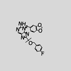 CC(C)(OCc1ccc(F)cc1)c1nc2cnc(N)n(Cc3ccc4c(c3)OCO4)c-2n1